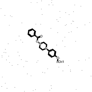 CCCCCCCCOc1ccc(N2CCN(OC(=O)c3ccccc3)CC2)cc1